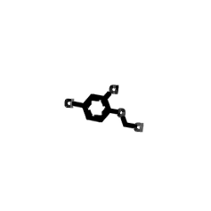 ClCOc1ccc(Cl)cc1Cl